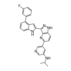 CC(C)Nc1cncc(-c2ccc3[nH]nc(-c4cc5c(-c6cccc(F)c6)cccc5[nH]4)c3n2)c1